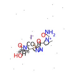 Cc1ccc(C(=O)c2ncn3cc(C4=C(C(=O)O)N5C(=O)[C@H]([C@@H](C)O)[C@H]5[C@H]4C)sc23)c[n+]1CC(N)=O.[I-]